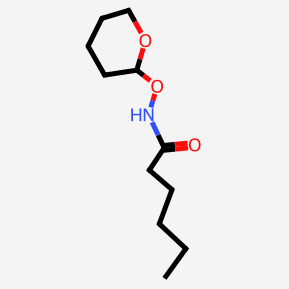 CCCCCC(=O)NOC1CCCCO1